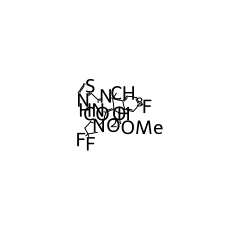 COC(=O)OC1=C(CN2CC(F)(F)C[C@H]2C(=O)O)NC(c2nccs2)=NC1(C)c1ccc(F)cc1